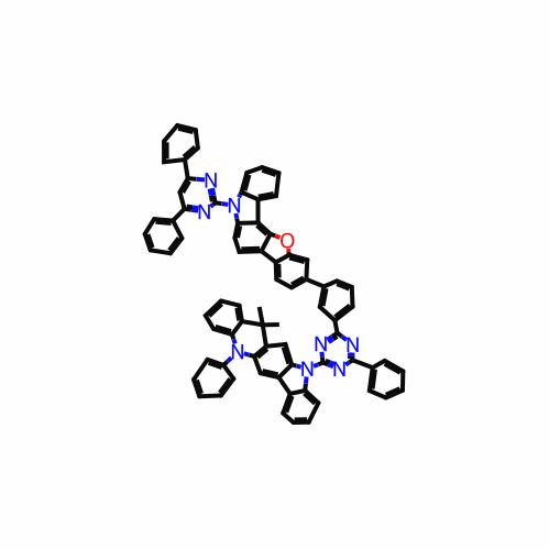 CC1(C)c2ccccc2N(c2ccccc2)c2cc3c4ccccc4n(-c4nc(-c5ccccc5)nc(-c5cccc(-c6ccc7c(c6)oc6c7ccc7c6c6ccccc6n7-c6nc(-c7ccccc7)cc(-c7ccccc7)n6)c5)n4)c3cc21